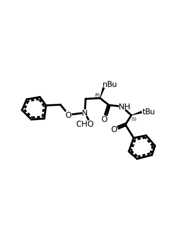 CCCC[C@H](CN(C=O)OCc1ccccc1)C(=O)N[C@H](C(=O)c1ccccc1)C(C)(C)C